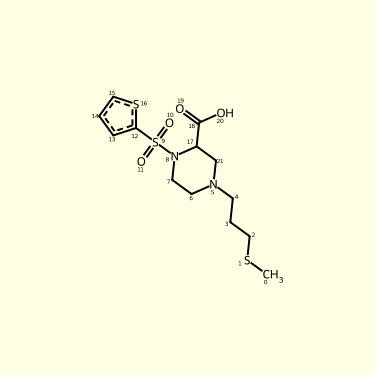 CSCCCN1CCN(S(=O)(=O)c2cccs2)C(C(=O)O)C1